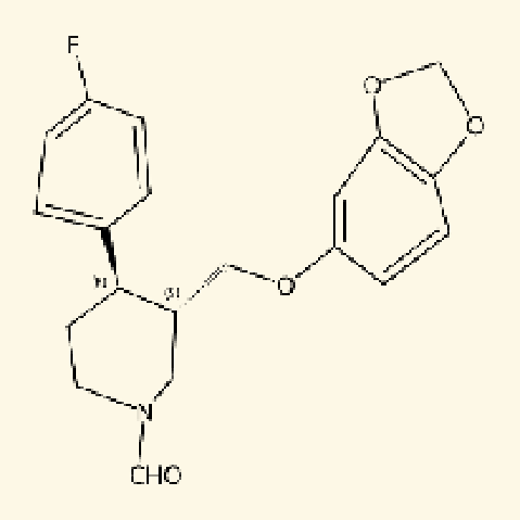 O=CN1CC[C@@H](c2ccc(F)cc2)[C@H](COc2ccc3c(c2)OCO3)C1